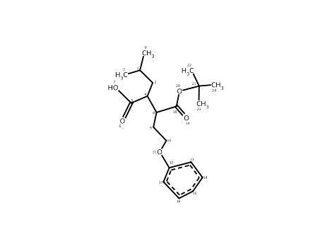 CC(C)CC(C(=O)O)C(CCOc1ccccc1)C(=O)OC(C)(C)C